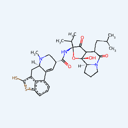 CC(C)CC1C(=O)N2CCC[C@H]2[C@]2(O)O[C@](NC(=O)[C@@H]3C=C4c5cccc6sc(S)c(c56)C[C@H]4N(C)C3)(C(C)C)C(=O)C12